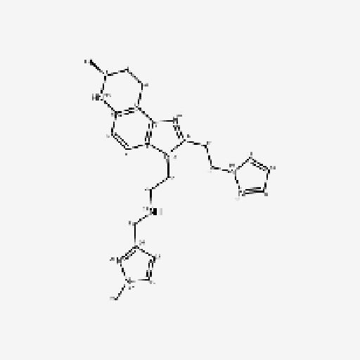 C[C@H]1CCc2c(ccc3c2nc(CCn2cccn2)n3CCNCc2ccn(C)n2)N1